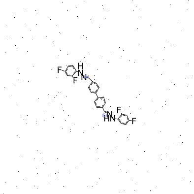 Fc1ccc(N/N=C/c2ccc(-c3ccc(/C=N/Nc4ccc(F)cc4F)cc3)cc2)c(F)c1